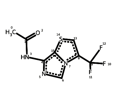 CC(=O)Nc1ncn2c(C(F)(F)F)csc12